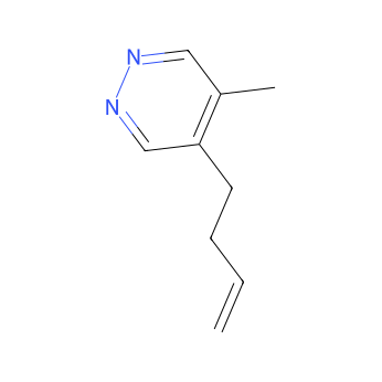 C=CCCc1cnncc1C